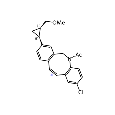 COC[C@@H]1C[C@@H]1c1ccc2c(c1)CN(C(C)=O)c1ccc(Cl)cc1/C=C\2